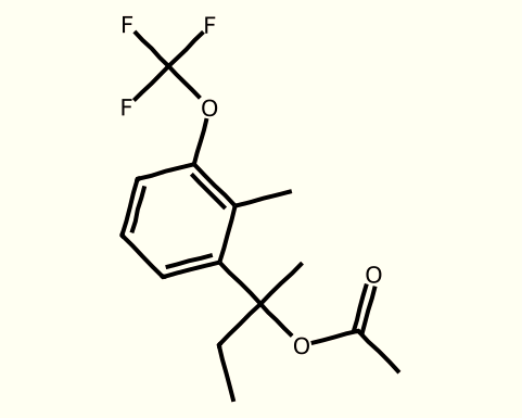 CCC(C)(OC(C)=O)c1cccc(OC(F)(F)F)c1C